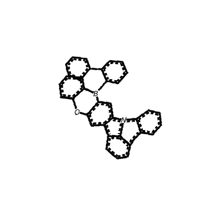 c1ccc(-c2ccccc2B2c3ccccc3Oc3cc4c5cccc6c7ccccc7n(c4cc32)c65)cc1